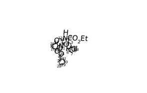 CCOC(=O)[C@H](CCc1ccccc1)NC1COc2ccccc2N(CC(=O)OCc2ccccc2)C1=O.Cl